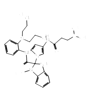 CN1c2ccccc2NC1(C(=O)Nc1ccccc1N(CCCl)CCCl)n1ccc(NC(=O)CC[S+](C)C)c1.[Cl-]